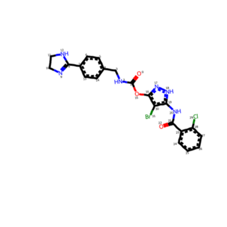 O=C(NCc1ccc(C2=NCCN2)cc1)Oc1n[nH]c(NC(=O)c2ccccc2Cl)c1Br